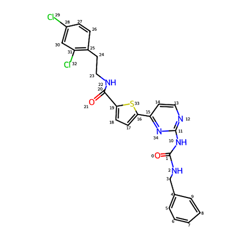 O=C(NCc1ccccc1)Nc1nccc(-c2ccc(C(=O)NCCc3ccc(Cl)cc3Cl)s2)n1